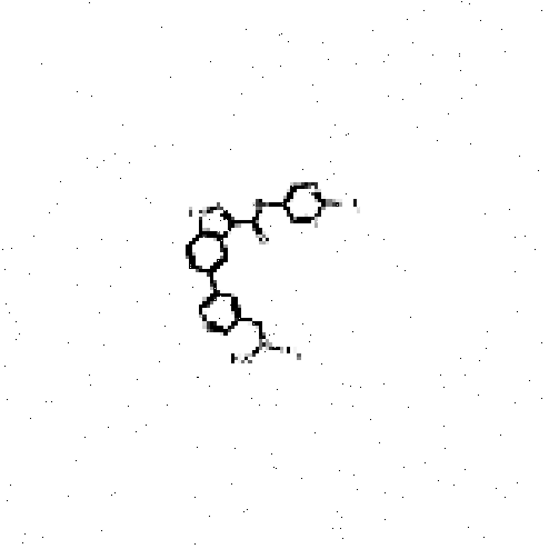 Cc1ncc(NC(=O)c2n[nH]c3ccc(-c4cncc(CN(C)C)c4)cc23)cn1